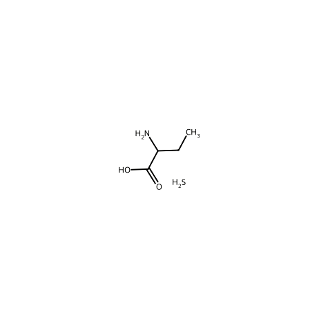 CCC(N)C(=O)O.S